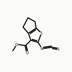 COC(=O)c1c(N=C=S)sc2c1CCC2